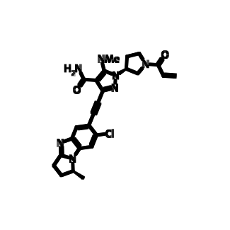 C=CC(=O)N1CC[C@H](n2nc(C#Cc3cc4nc5n(c4cc3Cl)[C@@H](C)CC5)c(C(N)=O)c2NC)C1